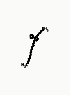 CCCCCCCCCCCCCCCCCN1C=CN(CCCCCCC)C1c1ccccc1